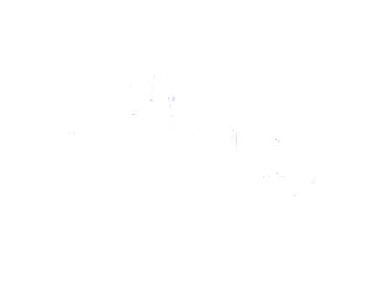 CCOCC1(NC(=O)c2ccc(-c3noc(C(F)(F)F)n3)c(F)c2)CC1